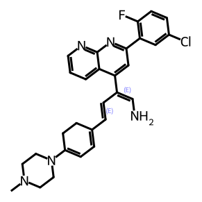 CN1CCN(C2=CC=C(/C=C/C(=C\N)c3cc(-c4cc(Cl)ccc4F)nc4ncccc34)CC2)CC1